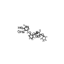 Cc1ncc(COc2ccccc2O[P+]([O-])=N[C@@H](C)C(=O)OC2CCCC2)c(C=O)c1O